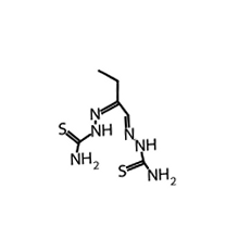 CCC(C=NNC(N)=S)=NNC(N)=S